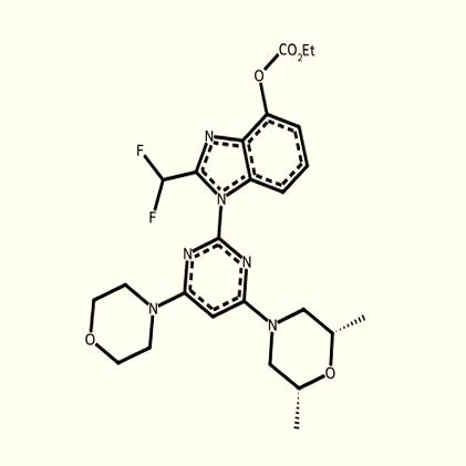 CCOC(=O)Oc1cccc2c1nc(C(F)F)n2-c1nc(N2CCOCC2)cc(N2C[C@@H](C)O[C@@H](C)C2)n1